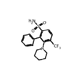 NS(=O)(=O)c1ccc(C(F)(F)F)c(N2CCCCC2)c1-c1ccccc1